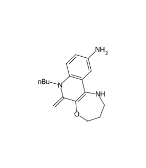 C=C1C2=C(NCCCO2)c2cc(N)ccc2N1CCCC